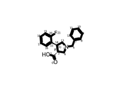 O=C(O)[C@H]1CN(Cc2ccccc2)C[C@@H]1c1ccccc1F